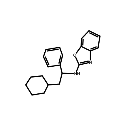 c1ccc(C(CC2CCCCC2)Nc2nc3ccccc3o2)cc1